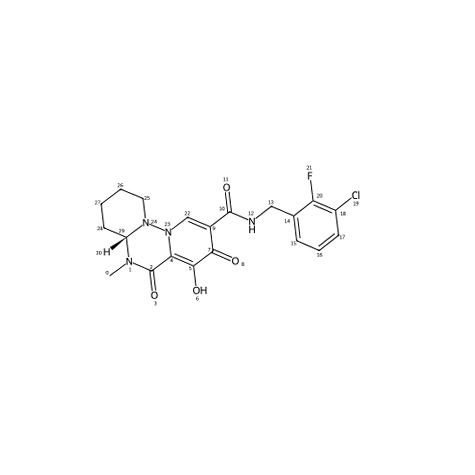 CN1C(=O)c2c(O)c(=O)c(C(=O)NCc3cccc(Cl)c3F)cn2N2CCCC[C@@H]12